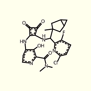 CN(C)C(=O)c1nccc(Nc2c(NC(c3nc(Cl)ccc3F)C3(C)CC4CC4C3)c(=O)c2=O)c1O